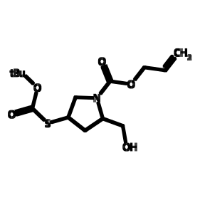 C=CCOC(=O)N1CC(SC(=O)OC(C)(C)C)CC1CO